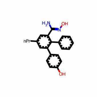 CCCc1cc(/C(N)=N/O)c(-c2ccccc2)c(-c2ccc(O)cc2)c1